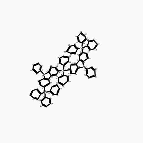 c1ccc(-n2c3ccc([Si](c4ccccc4)(c4ccccc4)c4ccccc4)cc3c3cc([Si](c4ccccc4)(c4ccccc4)c4ccc5c(c4)c4cc([Si](c6ccccc6)(c6ccccc6)c6ccccc6)ccc4n5-c4ccccc4)ccc32)cc1